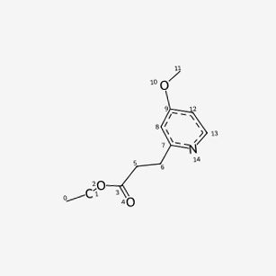 CCOC(=O)CCc1cc(OC)ccn1